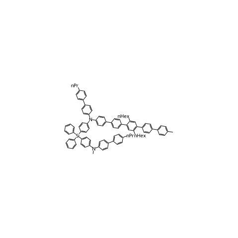 CCCCCCc1cc(-c2ccc(-c3ccc(N(c4ccc(-c5ccc(CCC)cc5)cc4)c4ccc([Si](c5ccccc5)(c5ccccc5)c5ccc(N(C)c6ccc(-c7ccc(CCC)cc7)cc6)cc5)cc4)cc3)cc2)c(CCCCCC)cc1-c1ccc(-c2ccc(C)cc2)cc1